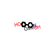 COc1cc(O)ccc1C1CCC(=NO)CC1